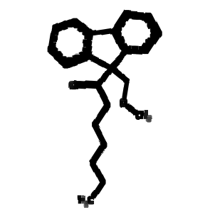 CCCCCCC(=O)C1(COC)c2ccccc2-c2ccccc21